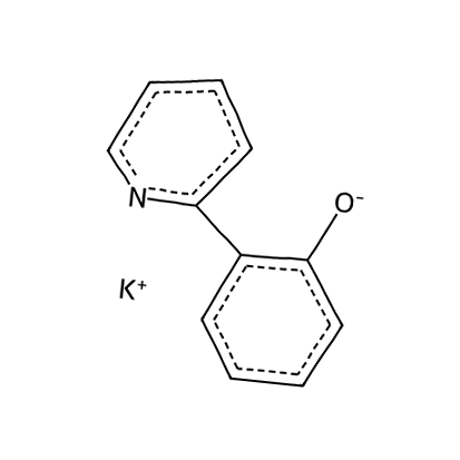 [K+].[O-]c1ccccc1-c1ccccn1